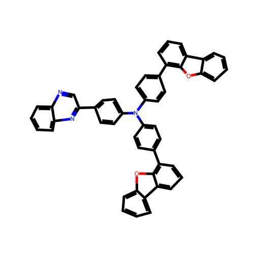 c1ccc2nc(-c3ccc(N(c4ccc(-c5cccc6c5oc5ccccc56)cc4)c4ccc(-c5cccc6c5oc5ccccc56)cc4)cc3)cnc2c1